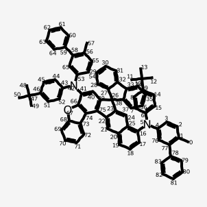 Cc1ccc(N(c2ccc(C(C)(C)C)cc2)c2cccc3cc4c(cc23)C2(c3ccccc3-c3ccccc32)c2cc(N(c3ccc(C(C)(C)C)cc3)c3ccc(C)c(-c5ccccc5)c3)c3oc5ccccc5c3c2-4)cc1-c1ccccc1